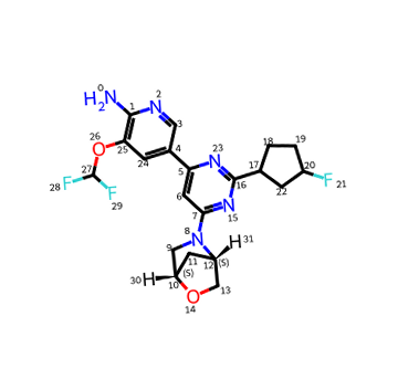 Nc1ncc(-c2cc(N3C[C@@H]4C[C@H]3CO4)nc(C3CCC(F)C3)n2)cc1OC(F)F